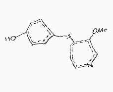 COc1cnccc1Sc1ccc(O)cc1